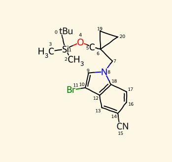 CC(C)(C)[Si](C)(C)OCC1(Cn2cc(Br)c3cc(C#N)ccc32)CC1